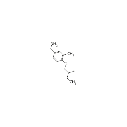 CCC(F)COc1ccc(CN)cc1C